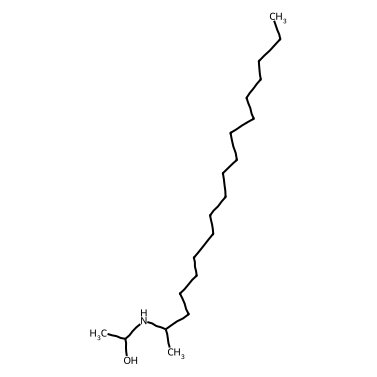 CCCCCCCCCCCCCCCCC(C)NC(C)O